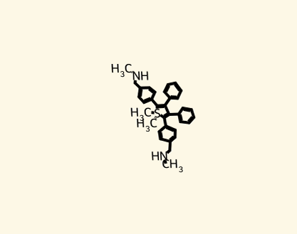 CNCc1ccc(C2=C(c3ccccc3)C(c3ccccc3)=C(c3ccc(CNC)cc3)S2(C)C)cc1